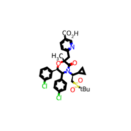 CC(C)(C)S(=O)(=O)C[C@H](C1CC1)N1C(=O)[C@@](C)(Cc2ccc(C(=O)O)cn2)O[C@H](c2cccc(Cl)c2)C1c1ccc(Cl)cc1